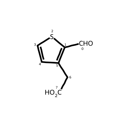 O=Cc1sccc1CC(=O)O